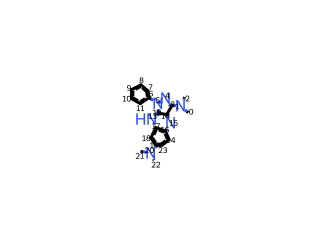 CN(C)C1=NN(c2ccccc2)C(=N)C1=Nc1ccc(N(C)C)cc1